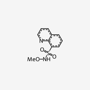 CONS(=O)(=O)c1cccc2cccnc12